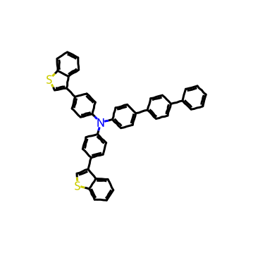 c1ccc(-c2ccc(-c3ccc(N(c4ccc(-c5csc6ccccc56)cc4)c4ccc(-c5csc6ccccc56)cc4)cc3)cc2)cc1